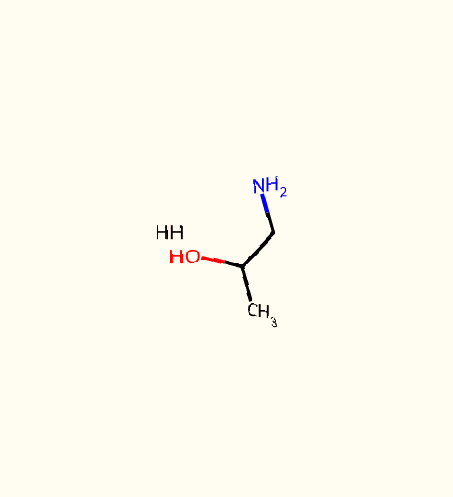 CC(O)CN.[HH]